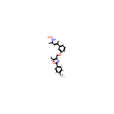 CC(=CC(C)NO)c1cccc(OCc2nc(-c3ccc(C(F)(F)F)cc3)oc2C)c1